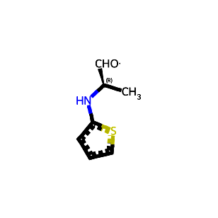 C[C@H]([C]=O)Nc1cccs1